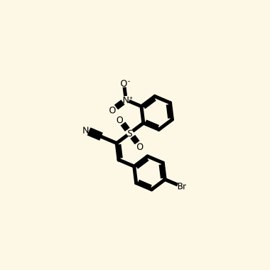 N#CC(=Cc1ccc(Br)cc1)S(=O)(=O)c1ccccc1[N+](=O)[O-]